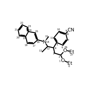 CCOC(CC(c1ccc(C#N)cc1)C(C)N(C)c1ccc2ccccc2c1)OCC